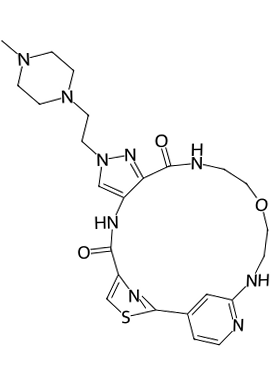 CN1CCN(CCn2cc3c(n2)C(=O)NCCOCCNc2cc(ccn2)-c2nc(cs2)C(=O)N3)CC1